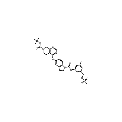 Cc1cc(COS(C)(=O)=O)cc(NC(=O)n2ccc3cc(Oc4ncnc5c4CCN(C(=O)OC(C)(C)C)C5)ccc32)c1